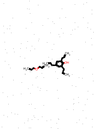 C=CCOCC=C.C=CCc1cc(CC=C)c(O)c(CC=C)c1